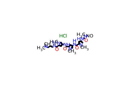 CN(C)CCCNC(=O)c1cc(NC(=O)c2cc(NC(=O)c3cc(NC(=O)N(C)N=O)cn3C)cn2C)cn1C.Cl